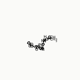 CC(C)[C@H]1CN(CCOS(=O)(=O)c2ccccc2)C(=O)N1c1ccn2ncc(-c3ccc(-c4ncn(COCC[Si](C)(C)C)n4)cc3)c2n1